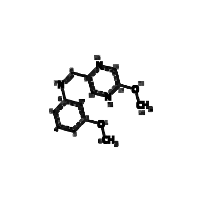 COc1cccc(/N=C\c2cnc(OC)cn2)c1